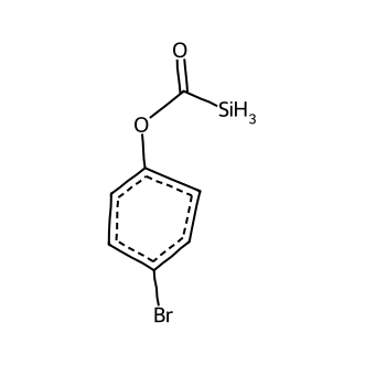 O=C([SiH3])Oc1ccc(Br)cc1